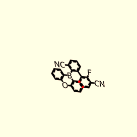 N#Cc1cccc(-c2cccc(C#N)c2B2c3ccccc3Oc3ccccc32)c1F